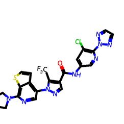 O=C(Nc1cnc(-n2nccn2)c(Cl)c1)c1cnn(-c2cnc(N3CCCC3)c3sccc23)c1C(F)(F)F